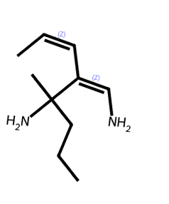 C/C=C\C(=C\N)C(C)(N)CCC